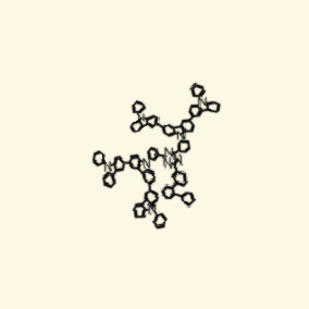 c1ccc(-c2ccccc2-c2cccc(-c3nc(-c4cccc(-n5c6ccc(-c7ccc8c(c7)c7ccccc7n8-c7ccccc7)cc6c6cc(-c7ccc8c(c7)c7ccccc7n8-c7ccccc7)ccc65)c4)nc(-c4cccc(-n5c6ccc(-c7ccc8c(c7)c7ccccc7n8-c7ccccc7)cc6c6cc(-c7ccc8c(c7)c7ccccc7n8-c7ccccc7)ccc65)c4)n3)c2)cc1